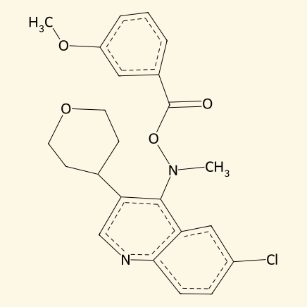 COc1cccc(C(=O)ON(C)c2c(C3CCOCC3)cnc3ccc(Cl)cc23)c1